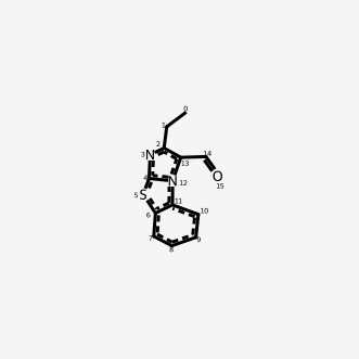 CCc1nc2sc3ccccc3n2c1C=O